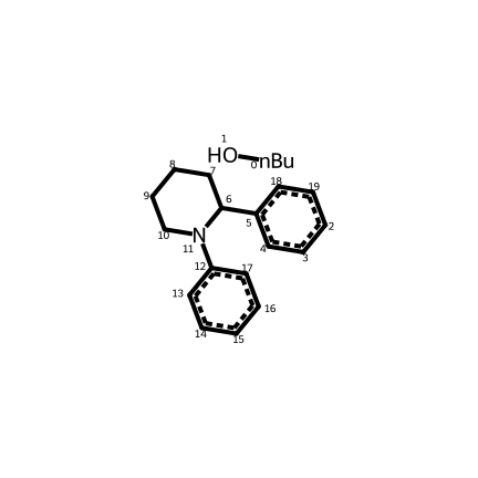 CCCCO.c1ccc(C2CCCCN2c2ccccc2)cc1